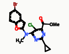 COC(=O)c1nc(C2CC2)nc(N(C)c2cc3cc(Br)ccc3o2)c1Cl